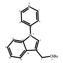 CC(C)COCc1cn(-c2ccncc2)c2ccccc12